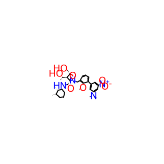 COc1c(CN2O[C@@H](CO)[C@H]([C@H](C)O)[C@H]2C(=O)N[C@H]2CCC[C@H](C)[C@@H]2C)cccc1-c1cc(N(C)C)cc([N+](=O)[O-])c1